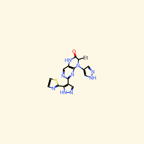 CCC1C(=O)Nc2cnc(-c3cn[nH]c3-c3nccs3)nc2N1c1cn[nH]c1